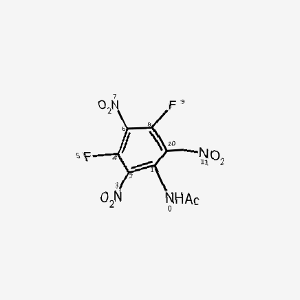 CC(=O)Nc1c([N+](=O)[O-])c(F)c([N+](=O)[O-])c(F)c1[N+](=O)[O-]